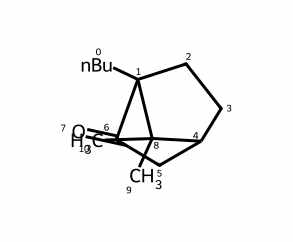 CCCCC12CCC(CC1=O)C2(C)C